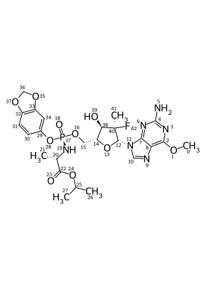 COc1nc(N)nc2c1ncn2[C@@H]1O[C@H](CO[P@](=O)(N[C@@H](C)C(=O)OC(C)C)Oc2ccc3c(c2)OCO3)[C@@H](O)[C@@]1(C)F